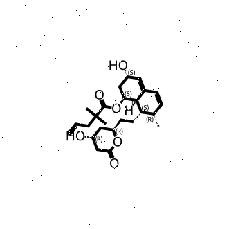 C=CCC(C)(C)C(=O)O[C@H]1C[C@H](O)C=C2C=C[C@H](C)[C@H](CC[C@@H]3C[C@@H](O)CC(=O)O3)[C@H]21